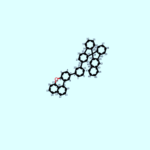 c1cc(-c2ccc3c(c2)-c2cccc4cccc(c24)O3)cc(-c2ccc3c(c2)C2(c4ccccc4-3)c3ccccc3-c3cc4ccccc4cc32)c1